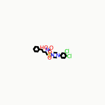 O=CN(O)C(CCc1ccccc1)CS(=O)(=O)N1CCN(c2ccc(Cl)c(Cl)c2)CC1